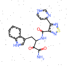 NC(=O)C(=O)C(Cc1c[nH]c2ccccc12)NC(=O)c1nsnc1-c1ccncn1